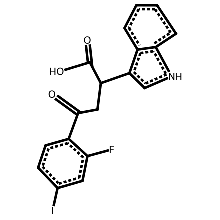 O=C(CC(C(=O)O)c1c[nH]c2ccccc12)c1ccc(I)cc1F